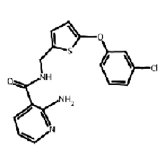 Nc1ncccc1C(=O)NCc1ccc(Oc2cccc(Cl)c2)s1